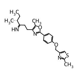 CC[C@@H](C)C(=N)CCc1nc(-c2ccc(OCc3csc(C)n3)cc2)oc1C